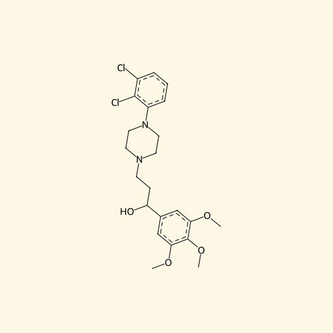 COc1cc(C(O)CCN2CCN(c3cccc(Cl)c3Cl)CC2)cc(OC)c1OC